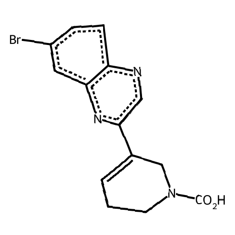 O=C(O)N1CCC=C(c2cnc3ccc(Br)cc3n2)C1